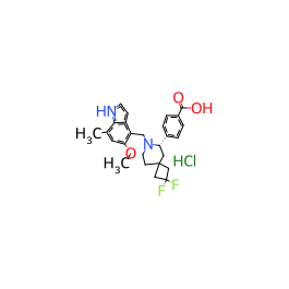 COc1cc(C)c2[nH]ccc2c1CN1CCC2(C[C@H]1c1ccc(C(=O)O)cc1)CC(F)(F)C2.Cl